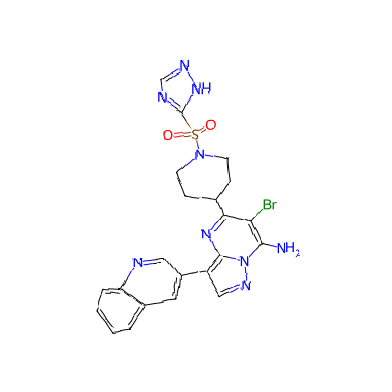 Nc1c(Br)c(C2CCN(S(=O)(=O)c3ncn[nH]3)CC2)nc2c(-c3cnc4ccccc4c3)cnn12